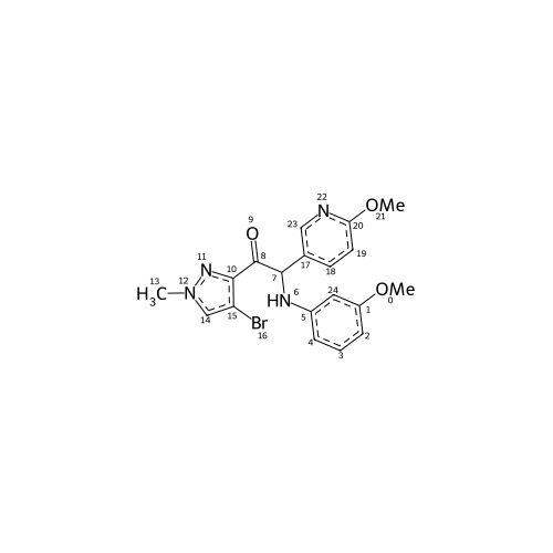 COc1cccc(NC(C(=O)c2nn(C)cc2Br)c2ccc(OC)nc2)c1